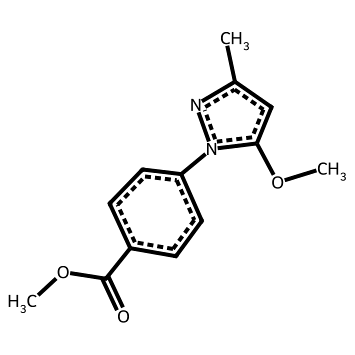 COC(=O)c1ccc(-n2nc(C)cc2OC)cc1